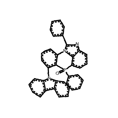 O=P1(c2ccccc2)c2c(cccc2-n2c3ccccc3c3ccccc32)-n2c(-c3ccccc3)nc3cccc1c32